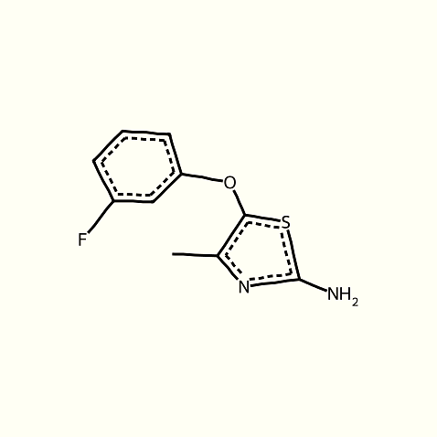 Cc1nc(N)sc1Oc1cccc(F)c1